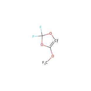 FC(F)(F)O[C]1=[Cf][O]C(F)(F)O1